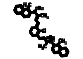 CCCCN(/C(C)=C/C=C1\CCCC(/C=C/C(C)=[N+](\CCCC)c2ccc3ccccc3c2C)=C1Cl)c1ccc2ccccc2c1C